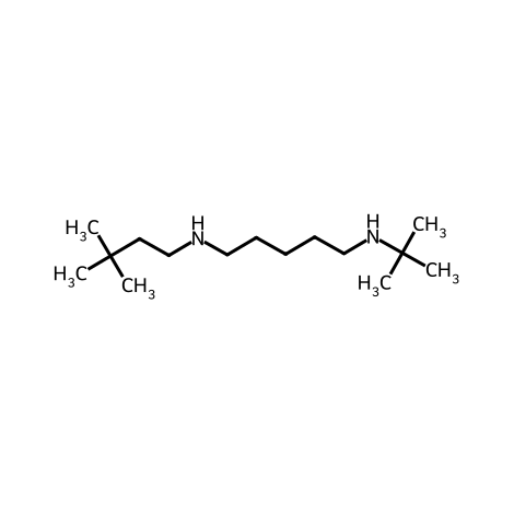 CC(C)(C)CCNCCCCCNC(C)(C)C